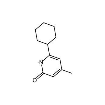 CC1=CC(=O)[N]C(C2CCCCC2)=C1